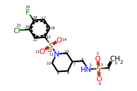 C=CS(=O)(=O)NCC1CCCN(S(=O)(=O)c2ccc(F)c(Cl)c2)C1